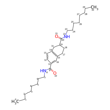 CCCCCCCCNC(=O)c1ccc2c(c1)CCC(C(=O)NCCCCCCCC)C2